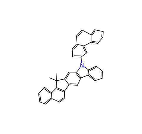 CC1(C)c2cc3c(cc2-c2ccc4ccccc4c21)c1ccccc1n3-c1ccc2ccc3ccccc3c2c1